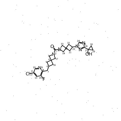 O=C(N1CC2(CC(Cc3ncc(Cl)cc3F)C2)C1)N1CC2(CC(n3cnc(C4(O)CC4)n3)C2)C1